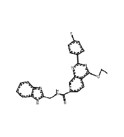 CCOc1nc(-c2ccc(F)cc2)nc2cc(C(=O)NCc3nc4ccccc4[nH]3)ccc12